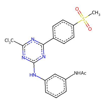 CC(=O)Nc1cccc(Nc2nc(-c3ccc(S(C)(=O)=O)cc3)nc(C(Cl)(Cl)Cl)n2)c1